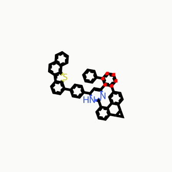 C1=C(c2ccccc2)N=C(c2cccc3c2-c2cc(-c4cccc(-c5ccccc5)c4)ccc2C2CC32)NC1c1ccc(-c2cccc3c2sc2c4ccccc4ccc32)cc1